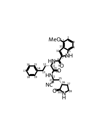 COc1cccc2[nH]c(C(=O)N[C@@H](CCc3ccccc3)C(=O)N[C@H](C#N)C[C@@H]3CCNC3=O)cc12